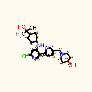 CC(C)(O)C1CCC(Nc2cc(Cl)ncc2-c2ccc(CN3CCC(O)CC3)cn2)CC1